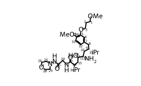 COCCCOc1cc(C[C@@H](C[C@H](N)[C@@H](O)C[C@H](C(=O)NCC(=O)NN2CCOCC2)C(C)C)C(C)C)ccc1OC